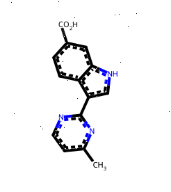 Cc1ccnc(-c2c[nH]c3cc(C(=O)O)ccc23)n1